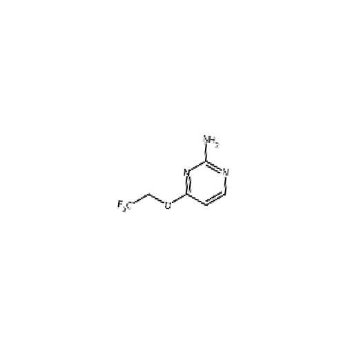 Nc1nccc(OCC(F)(F)F)n1